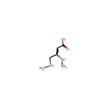 CNC/C(=C/C(=O)O)NC